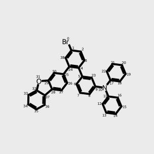 Brc1ccc(-c2cccc(N(c3ccccc3)c3ccccc3)c2)c(-c2ccc3c(c2)oc2ccccc23)c1